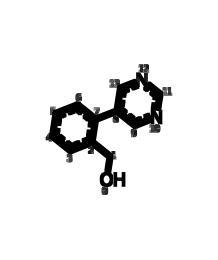 OCc1ccccc1-c1cncnc1